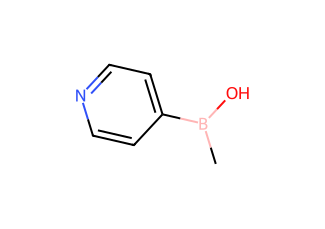 CB(O)c1ccncc1